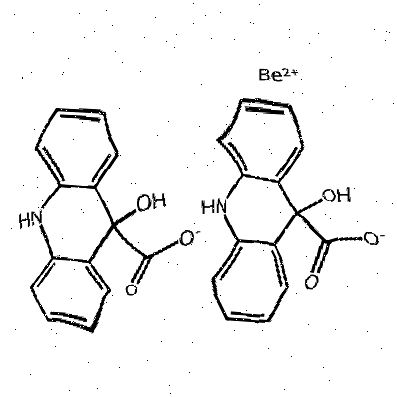 O=C([O-])C1(O)c2ccccc2Nc2ccccc21.O=C([O-])C1(O)c2ccccc2Nc2ccccc21.[Be+2]